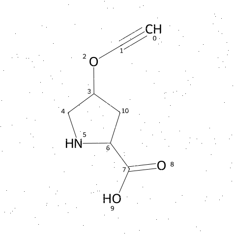 C#COC1CNC(C(=O)O)C1